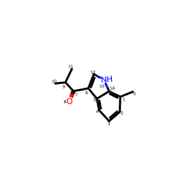 Cc1cccc2c(C(=O)C(C)C)c[nH]c12